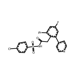 CC(C)c1cc(F)cc(-c2ccncc2)c1CC(=O)NS(=O)(=O)c1ccc(Cl)cc1